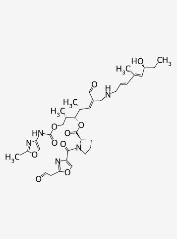 CC[C@H](O)/C=C(C)/C=C/CNC/C(C=O)=C/[C@@H](C)[C@H](OC(=O)[C@H]1CCCN1C(=O)c1coc(CC=O)n1)[C@@H](C)COC(=O)Nc1coc(C)n1